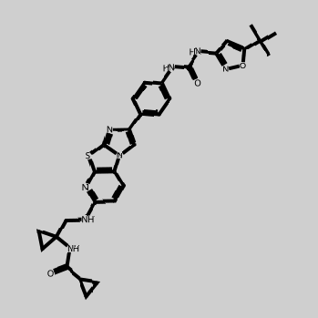 CC(C)(C)c1cc(NC(=O)Nc2ccc(-c3cn4c(n3)sc3nc(NCC5(NC(=O)C6CC6)CC5)ccc34)cc2)no1